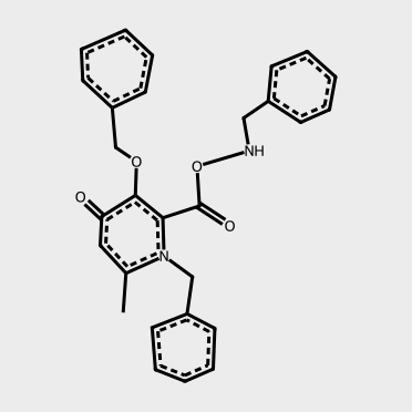 Cc1cc(=O)c(OCc2ccccc2)c(C(=O)ONCc2ccccc2)n1Cc1ccccc1